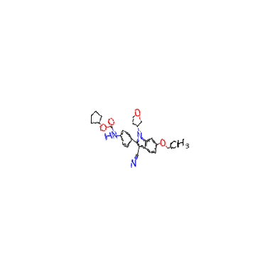 CCOc1ccc2c(C#N)c(-c3ccc(NC(=O)OC4CCCC4)cc3)n(C3CCOC3)c2c1